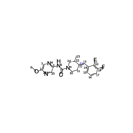 COc1cnc(NC(=O)N2CC/C(=C\c3cccc(F)c3F)C(C)C2)cn1